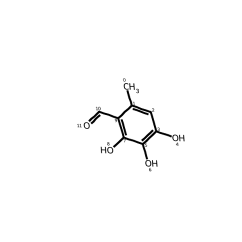 Cc1cc(O)c(O)c(O)c1C=O